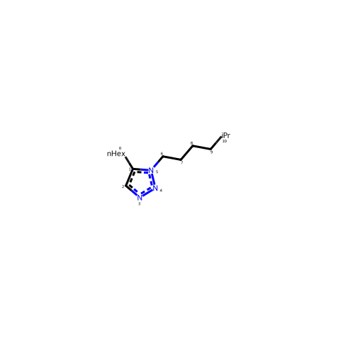 CCCCCCc1cnnn1CCCCC(C)C